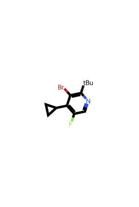 CC(C)(C)c1ncc(F)c(C2CC2)c1Br